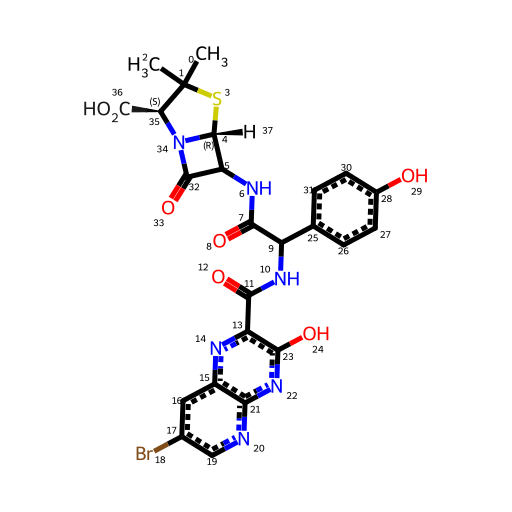 CC1(C)S[C@@H]2C(NC(=O)C(NC(=O)c3nc4cc(Br)cnc4nc3O)c3ccc(O)cc3)C(=O)N2[C@H]1C(=O)O